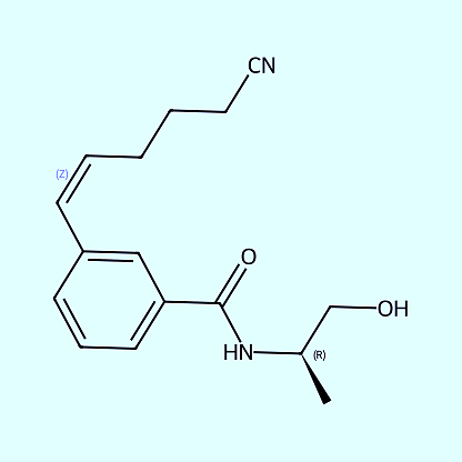 C[C@H](CO)NC(=O)c1cccc(/C=C\CCCC#N)c1